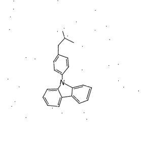 CC(C)Cc1ccc(-n2c3ccccc3c3ccccc32)cc1